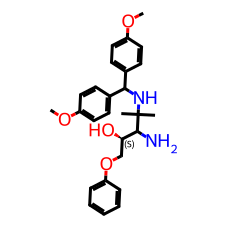 COc1ccc(C(NC(C)(C)C(N)[C@H](O)COc2ccccc2)c2ccc(OC)cc2)cc1